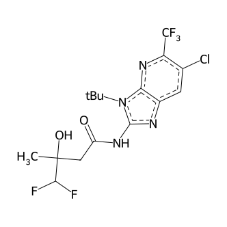 CC(O)(CC(=O)Nc1nc2cc(Cl)c(C(F)(F)F)nc2n1C(C)(C)C)C(F)F